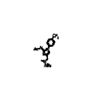 CCCCN(C)Cc1cn(-c2ccc(C(F)(F)F)cc2)/c(=N/C(C)=O)s1